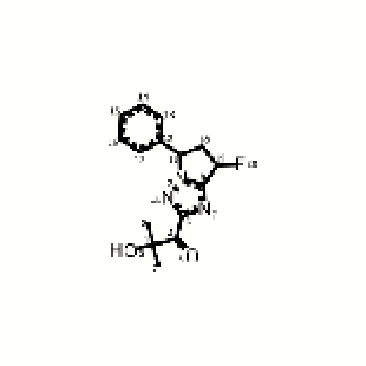 CC(C)(O)C(=O)c1nc2n(n1)C(c1ccccc1)CC2F